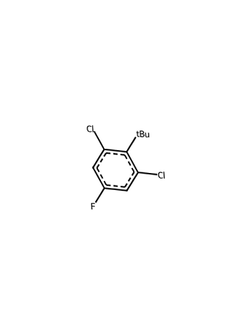 CC(C)(C)c1c(Cl)cc(F)cc1Cl